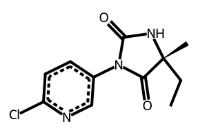 CC[C@@]1(C)NC(=O)N(c2ccc(Cl)nc2)C1=O